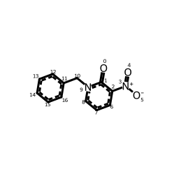 O=c1c([N+](=O)[O-])cccn1Cc1ccccc1